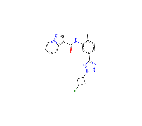 Cc1ccc(-c2nnn(C3CC(F)C3)n2)cc1NC(=O)c1cnn2ccccc12